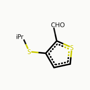 CC(C)Sc1ccsc1C=O